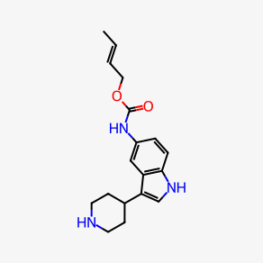 C/C=C/COC(=O)Nc1ccc2[nH]cc(C3CCNCC3)c2c1